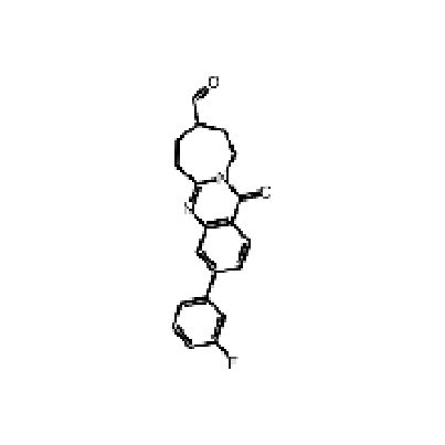 O=CC1CCc2nc3cc(-c4cccc(F)c4)ccc3c(=O)n2CC1